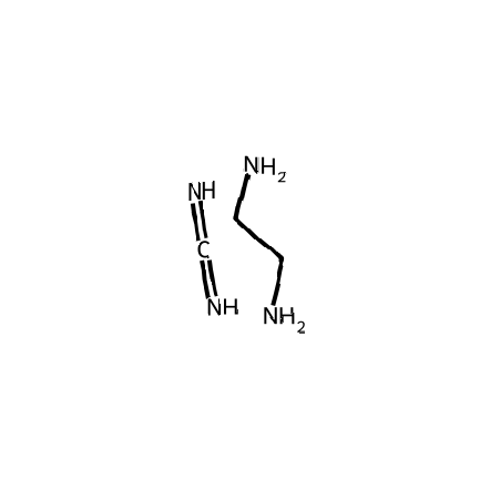 N=C=N.NCCN